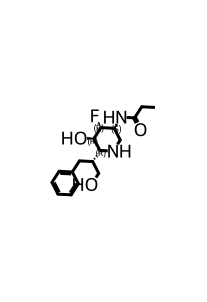 CCC(=O)N[C@H]1CN[C@H](C(CO)Cc2ccccc2)[C@@H](O)[C@@H]1F